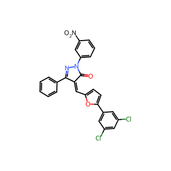 O=C1/C(=C\c2ccc(-c3cc(Cl)cc(Cl)c3)o2)C(c2ccccc2)=NN1c1cccc([N+](=O)[O-])c1